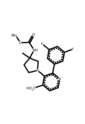 CC1(NC(=O)OC(C)(C)C)CCN(c2c(C(=O)O)ccnc2-c2cc(F)cc(F)c2)C1